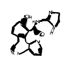 N#Cc1ccc(O)c(C(=O)NC2=NCCN2)c1-c1ncccc1F